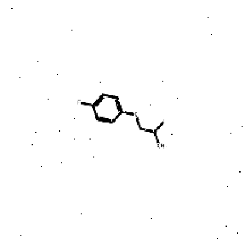 CC(I)CSc1ccc(F)cc1